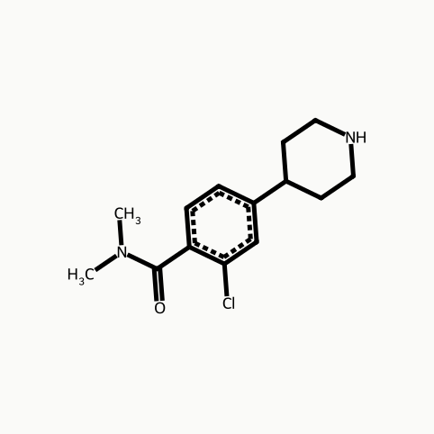 CN(C)C(=O)c1ccc(C2CCNCC2)cc1Cl